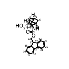 CC1(C)[C@H]2C[C@H](C(=O)O)[C@H](NC(=O)OCC3c4ccccc4-c4ccccc43)[C@@H]1C2